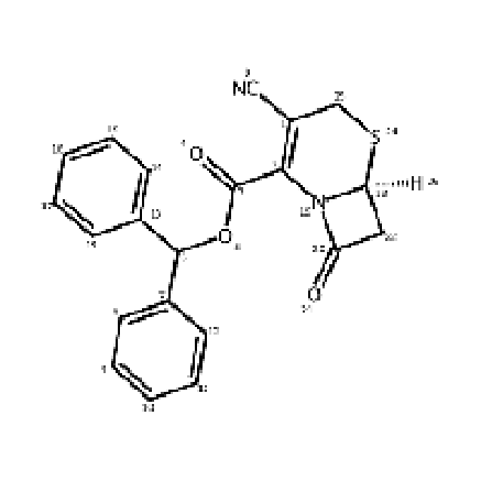 N#CC1=C(C(=O)OC(c2ccccc2)c2ccccc2)N2C(=O)C[C@@H]2SC1